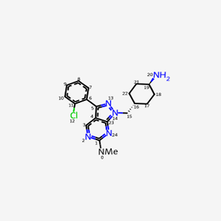 CNc1ncc2c(-c3ccccc3Cl)nn(C[C@H]3CC[C@H](N)CC3)c2n1